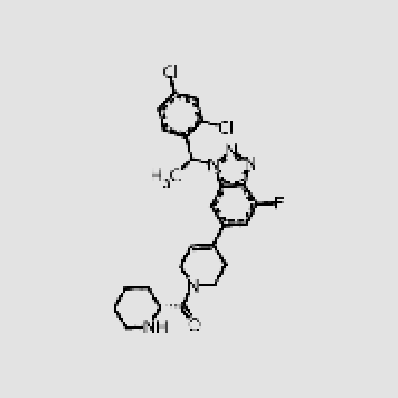 CC(c1ccc(Cl)cc1Cl)n1nnc2c(F)cc(C3=CCN(C(=O)[C@H]4CCCCN4)CC3)cc21